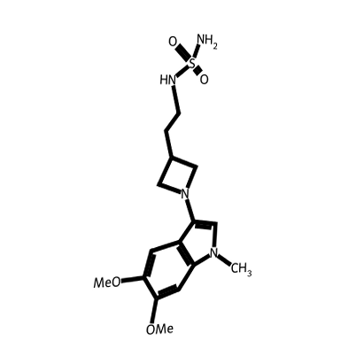 COc1cc2c(N3CC(CCNS(N)(=O)=O)C3)cn(C)c2cc1OC